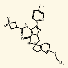 Cc1ccc(-c2nn3c(c2NC(=O)C2CS(=O)(=O)C2)C(=O)N[C@]2(CCc4cc(OCC(F)(F)F)ccc42)C3)nc1